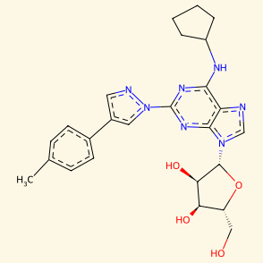 Cc1ccc(-c2cnn(-c3nc(NC4CCCC4)c4ncn([C@@H]5O[C@H](CO)[C@@H](O)[C@H]5O)c4n3)c2)cc1